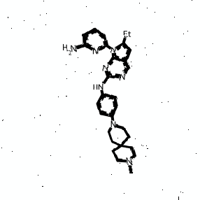 CCc1cc2cnc(Nc3ccc(N4CCC5(CCN(C)CC5)CC4)cc3)nc2n1-c1cccc(N)n1